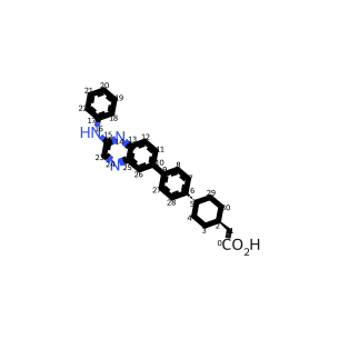 O=C(O)C[C@H]1CC[C@H](c2ccc(-c3ccc4nc(Nc5ccccc5)cnc4c3)cc2)CC1